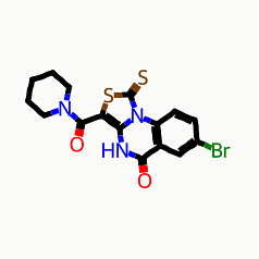 O=C(c1sc(=S)n2c1[nH]c(=O)c1cc(Br)ccc12)N1CCCCC1